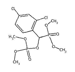 COP(=O)(OC)OC(c1ccc(Cl)cc1Cl)P(=O)(OC)OC